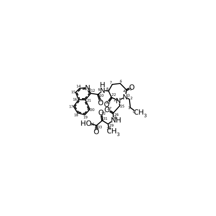 CCCN1C(=O)CCC(NC(=O)c2nccc3ccccc23)C(=O)N1CC(=O)NC(C)C(=O)C(=O)O